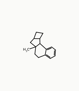 CC12CCc3ccccc3C1C1CCC1C2